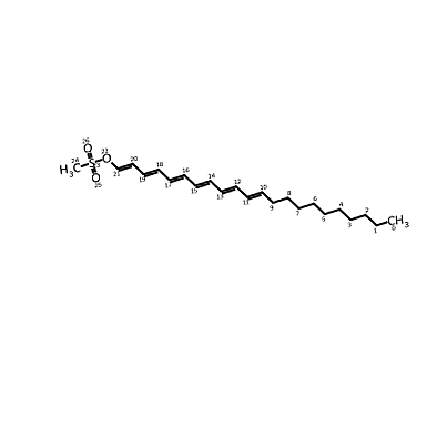 CCCCCCCCCCC=CC=CC=CC=CC=CC=COS(C)(=O)=O